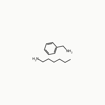 CCCCCCN.NCc1ccccc1